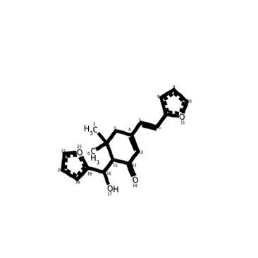 CC1(C)CC(C=Cc2ccco2)=CC(=O)C1C(O)c1ccco1